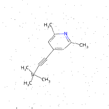 Cc1cc(C#C[Si](C)(C)C)cc(C)n1